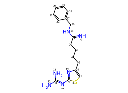 N=C(CCCCc1csc(N=C(N)N)n1)NCc1ccccc1